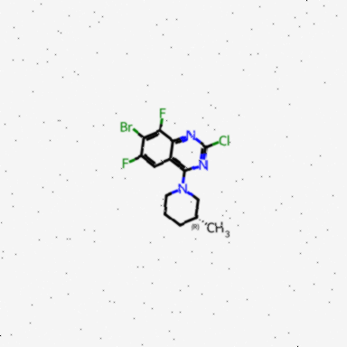 C[C@@H]1CCCN(c2nc(Cl)nc3c(F)c(Br)c(F)cc23)C1